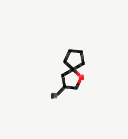 CC(C)C1COC2(CCCC2)C1